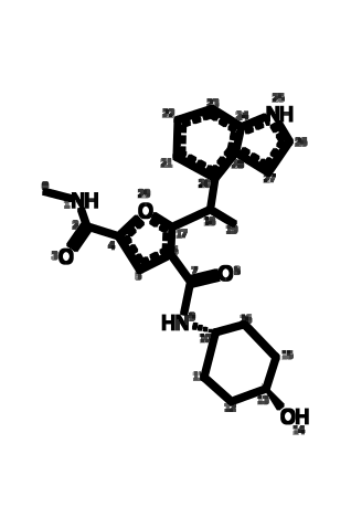 CNC(=O)c1cc(C(=O)N[C@H]2CC[C@H](O)CC2)c(C(C)c2cccc3[nH]ccc23)o1